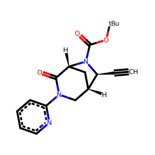 C#C[C@H]1[C@H]2C[C@H](C(=O)N(c3ccccn3)C2)N1C(=O)OC(C)(C)C